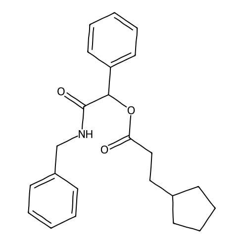 O=C(CCC1CCCC1)OC(C(=O)NCc1ccccc1)c1ccccc1